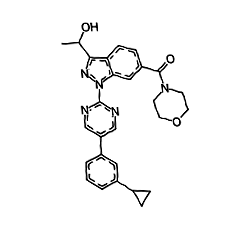 CC(O)c1nn(-c2ncc(-c3cccc(C4CC4)c3)cn2)c2cc(C(=O)N3CCOCC3)ccc12